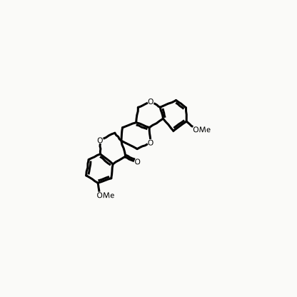 COc1ccc2c(c1)C(=O)C1(COC3=C(COc4ccc(OC)cc43)C1)CO2